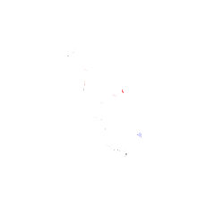 CC(C)OC[C@H](O)CC1CCNC1